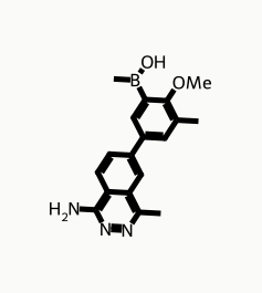 COc1c(C)cc(-c2ccc3c(N)nnc(C)c3c2)cc1B(C)O